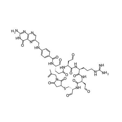 C=C(C)CN1C(=O)CC(SC[C@@H](C=O)NC(=O)[C@H](CC=O)NC(=O)[C@H](CCCNC(=N)N)NC(=O)[C@H](CC=O)NC(=O)CC[C@@H](C=O)NC(=O)c2ccc(NCc3cnc4nc(N)[nH]c(=O)c4n3)cc2)C1=O